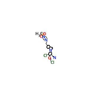 CS(=O)(=O)N1CCN(CCc2ccc3c(ccn3-c3cc(Cl)c(OCCCl)c(C#N)c3)c2)CC1